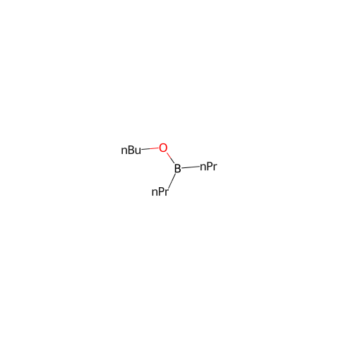 CCCCOB(CCC)CCC